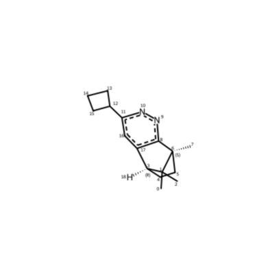 CC1(C)[C@H]2CC[C@]1(C)c1nnc(C3CCC3)cc12